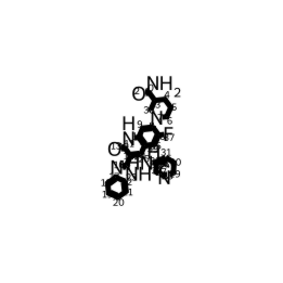 NC(=O)C1CCCN(c2cc3[nH]c(=O)c(-c4nc5ccccc5[nH]4)c(N[C@@H]4CN5CCC4CC5)c3cc2F)C1